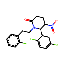 O=C1CCC([N+](=O)[O-])[C@@H](C2CC(F)=CC=C2F)N1CCc1ccccc1F